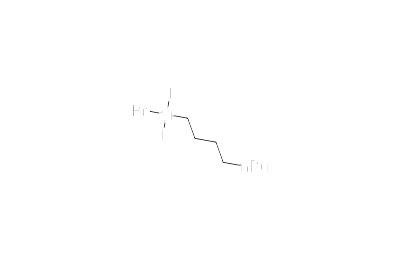 CCCCCCCC[Si](Br)(I)I